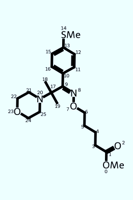 COC(=O)CCCCON=C(c1ccc(SC)cc1)C(C)(C)N1CCOCC1